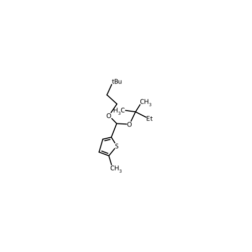 CCC(C)(C)OC(OCCC(C)(C)C)c1ccc(C)s1